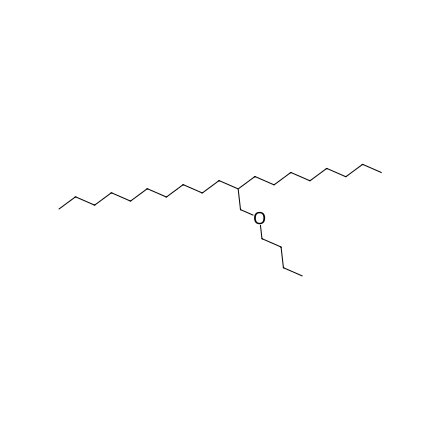 CCCCCCCCCCC(CCCCCCCC)COCCCC